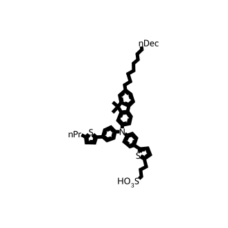 CCCCCCCCCCCCCCCCCCc1ccc2c(c1)C(C)(C)c1cc(N(c3ccc(-c4ccc(CCC)s4)cc3)c3ccc(-c4ccc(CCCS(=O)(=O)O)s4)cc3)ccc1-2